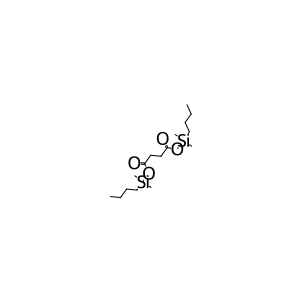 CCCC[Si](C)(C)OC(=O)CCC(=O)O[Si](C)(C)CCCC